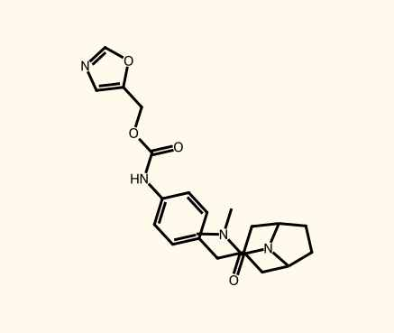 CN(C)C(=O)N1C2CCC1CC(Cc1ccc(NC(=O)OCc3cnco3)cc1)C2